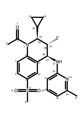 CC(=O)N1c2ccc(S(C)(=O)=O)cc2[C@H](Nc2cccc(C)n2)[C@@H](C)[C@@H]1C1CC1